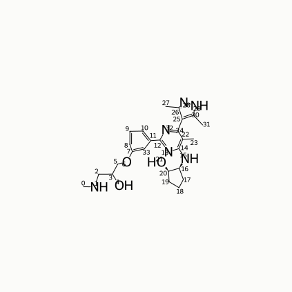 CNCC(O)COc1cccc(-c2nc(N[C@H]3CCC[C@H]3O)c(C)c(-c3c(C)n[nH]c3C)n2)c1